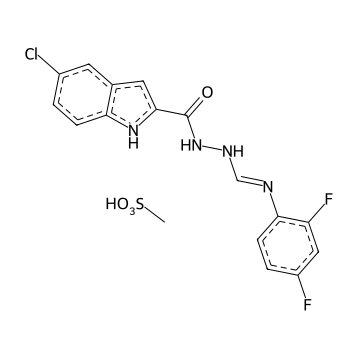 CS(=O)(=O)O.O=C(NNC=Nc1ccc(F)cc1F)c1cc2cc(Cl)ccc2[nH]1